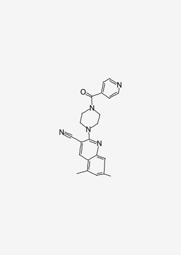 Cc1cc(C)c2cc(C#N)c(N3CCN(C(=O)c4ccncc4)CC3)nc2c1